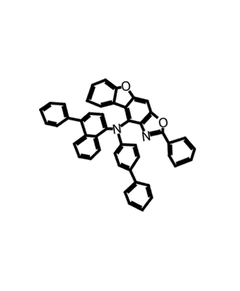 c1ccc(-c2ccc(N(c3ccc(-c4ccccc4)c4ccccc34)c3c4nc(-c5ccccc5)oc4cc4oc5ccccc5c34)cc2)cc1